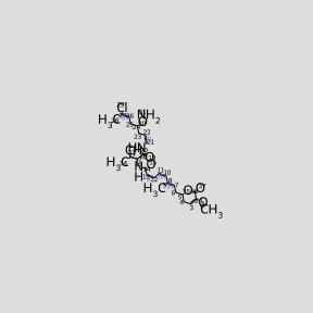 COC1=CCC(C/C=C(C)/C=C\C=C/C(=O)NC(C(=O)N/C=C\CC(C/C=C(\C)Cl)ON)C(C)C)OC1=O